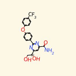 NC(=O)c1cc([C@H](O)CO)nc(-c2ccc(Oc3ccc(C(F)(F)F)cc3)cc2)n1